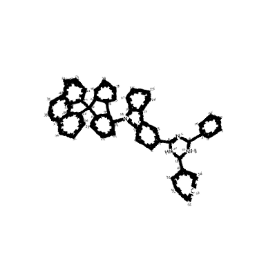 c1ccc(C2N=C(c3ccc4c(c3)c3ccccc3n4-c3cccc4c3-c3ccccc3C43c4cccc5ccc6cccc3c6c45)NC(c3ccccc3)N2)cc1